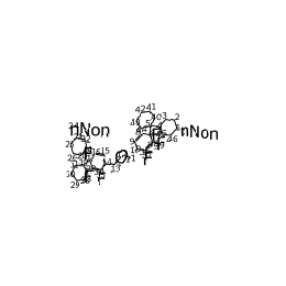 CCCCCCCCC[C@H]1CC[C@H](C2([C@@]3(F)C=C[C@@H](COC[C@@H]4C=C[C@](F)(C5([C@H]6CC[C@H](CCCCCCCCC)CC6)CCCCC5)C(F)=C4F)C(F)=C3F)CCCCC2)CC1